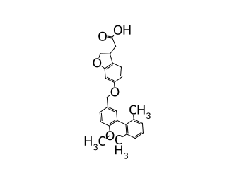 COc1ccc(COc2ccc3c(c2)OCC3CC(=O)O)cc1-c1c(C)cccc1C